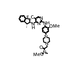 COc1cc(N2CCN(CC(=O)N(C)OC)CC2)ccc1Nc1ncc(C(F)(F)F)c(N[C@@H]2Cc3ccccc3[C@H]2C)n1